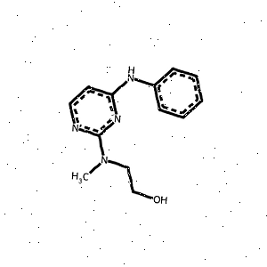 CN(CCO)c1nccc(Nc2ccccc2)n1